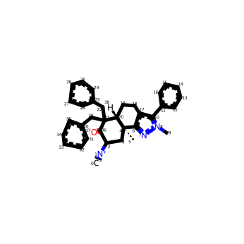 [C-]#[N+]C1C[C@]2(C)c3nn(C)c(-c4ccccc4)c3CC[C@H]2C(Cc2ccccc2)(Cc2ccccc2)C1=O